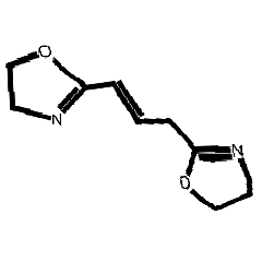 C(=CC1=NCCO1)CC1=NCCO1